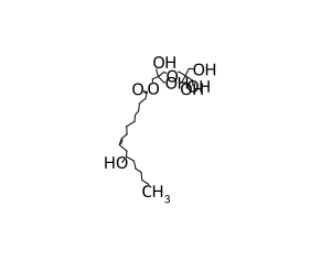 CCCCCC[C@@H](O)C/C=C\CCCCCCCC(=O)OCC(CO)(CO)COCC(CO)(CO)CO